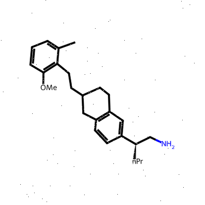 CCC[C@H](CN)c1ccc2c(c1)CCC(CCc1c(C)cccc1OC)C2